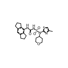 Cc1csc(N(C2CCOCC2)S(=O)(=O)NC(=O)Nc2c3c(cc4c2CCC4)CCC3)n1